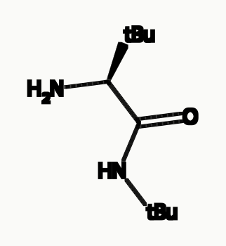 CC(C)(C)NC(=O)[C@@H](N)C(C)(C)C